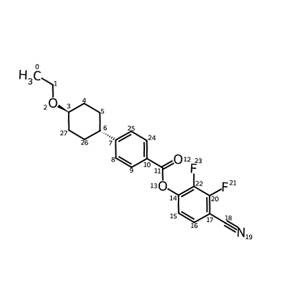 CCO[C@H]1CC[C@H](c2ccc(C(=O)Oc3ccc(C#N)c(F)c3F)cc2)CC1